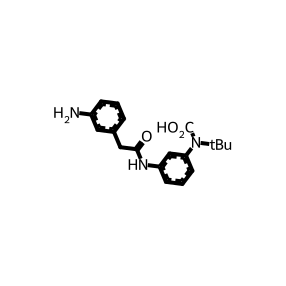 CC(C)(C)N(C(=O)O)c1cccc(NC(=O)Cc2cccc(N)c2)c1